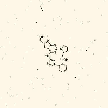 OCc1cc2c(Nc3cn(-c4ccccc4)cn3)nc(N3CCC[C@H]3CO)nc2s1